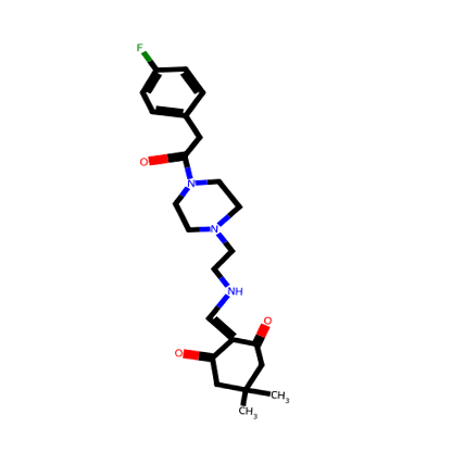 CC1(C)CC(=O)C(=CNCCN2CCN(C(=O)Cc3ccc(F)cc3)CC2)C(=O)C1